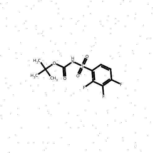 CC(C)(C)OC(=O)NS(=O)(=O)c1ccc(F)c(F)c1F